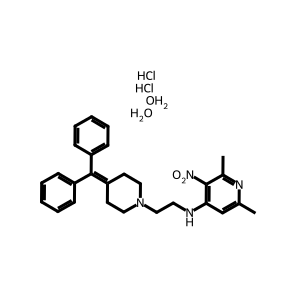 Cc1cc(NCCN2CCC(=C(c3ccccc3)c3ccccc3)CC2)c([N+](=O)[O-])c(C)n1.Cl.Cl.O.O